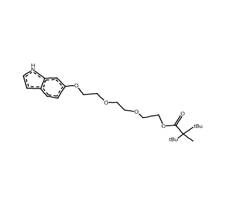 CC(C)(C)C(C)(C(=O)OCCOCCOCCOc1ccc2cc[nH]c2c1)C(C)(C)C